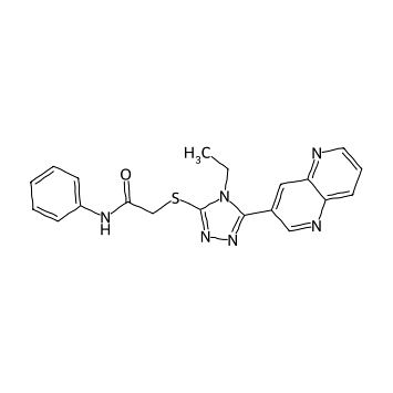 CCn1c(SCC(=O)Nc2ccccc2)nnc1-c1cnc2cccnc2c1